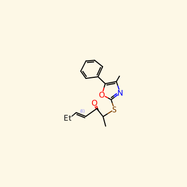 CC/C=C/C(=O)C(C)Sc1nc(C)c(-c2ccccc2)o1